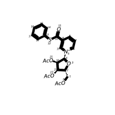 CC(=O)OC[C@H]1O[C@@H]([n+]2cccc(C(=O)Sc3ccccc3)c2)[C@H](OC(C)=O)[C@@H]1OC(C)=O